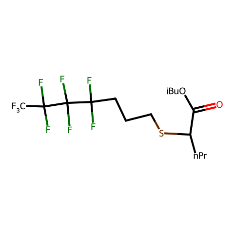 CCCC(SCCCC(F)(F)C(F)(F)C(F)(F)C(F)(F)F)C(=O)OCC(C)C